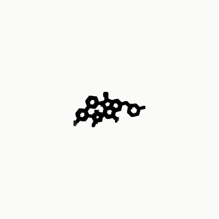 C[C@H]1CCCN(Cc2cc3c4c(ccc(F)c4c2)N(c2cccc(-c4ccc(F)cc4-c4nncn4C)c2)C3=O)C1